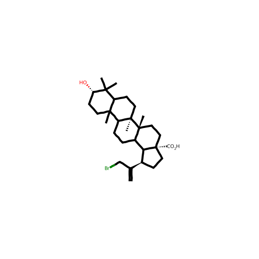 C=C(CBr)[C@@H]1CC[C@]2(C(=O)O)CC[C@]3(C)C(CCC4C5(C)CC[C@H](O)C(C)(C)C5CC[C@]43C)C12